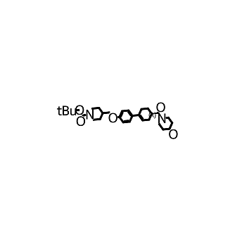 CC(C)(C)OC(=O)N1CCC(COc2ccc(C3=CC[C@H](C(=O)N4CCC(=O)CC4)CC3)cc2)CC1